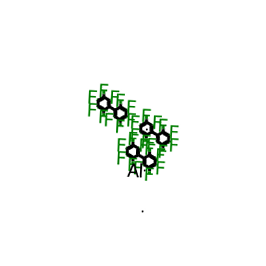 Fc1c(F)c(F)c(-c2c(F)c(F)c(F)c(F)c2F)c(F)c1F.Fc1c(F)c(F)c(-c2c(F)c(F)c(F)c(F)c2F)c(F)c1F.Fc1c(F)c(F)c(-c2c(F)c(F)c(F)c(F)c2F)c(F)c1F.[Al]